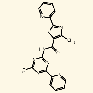 Cc1nc(NC(=O)c2sc(-c3ccccn3)nc2C)nc(-c2ccccn2)n1